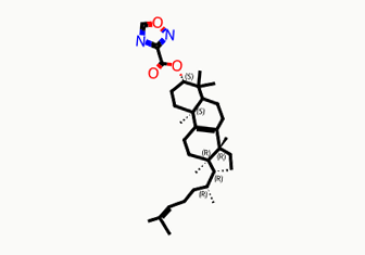 CC(C)=CCC[C@@H](C)[C@H]1CC[C@@]2(C)C3=C(CC[C@]12C)[C@@]1(C)CC[C@H](OC(=O)c2ncon2)C(C)(C)C1CC3